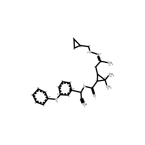 C#CC(OC(=O)C1C(C/C(C)=N\OCC2CC2)C1(C)C)c1cccc(Oc2ccccc2)c1